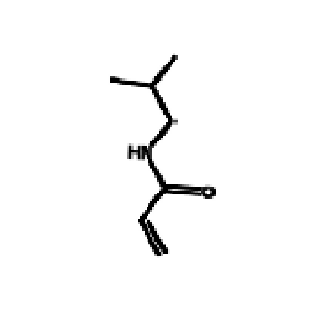 C=CC(=O)N[CH]C(C)C